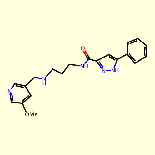 COc1cncc(CNCCCNC(=O)c2cc(-c3ccccc3)[nH]n2)c1